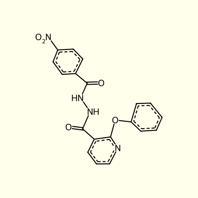 O=C(NNC(=O)c1cccnc1Oc1ccccc1)c1ccc([N+](=O)[O-])cc1